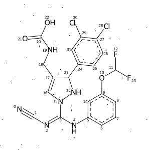 N#CN=C(Nc1cccc(OC(F)F)c1)N1C=C(CNC(=O)O)C(c2ccc(Cl)c(Cl)c2)N1